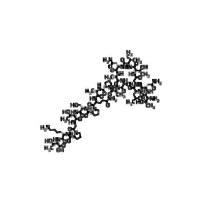 CC(C)C[C@H](NC(=O)[C@H](CC(N)=O)NC(=O)[C@@H](N)[C@@H](C)O)C(=O)NCC(=O)N[C@H](C(=O)N[C@H](C(=O)N[C@@H](CC(N)=O)C(=O)N[C@@H](C)C(=O)N[C@@H](C)C(=O)N[C@@H](C)C(=O)N1CCC[C@H]1C(=O)N[C@@H](C)C(=O)N[C@@H](CCC(N)=O)C(=O)N1CCC[C@H]1C(=O)N[C@@H](CO)C(=O)N[C@H](C(=O)NCC(=O)N1CCC[C@H]1C(=O)N[C@@H](CCCCN)C(=O)N[C@H](C(=O)O)[C@@H](C)O)[C@@H](C)O)C(C)C)[C@@H](C)O